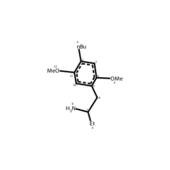 CCCCc1cc(OC)c(CC(N)CC)cc1OC